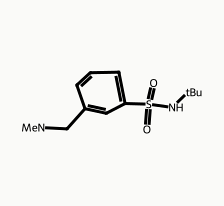 CNCc1cccc(S(=O)(=O)NC(C)(C)C)c1